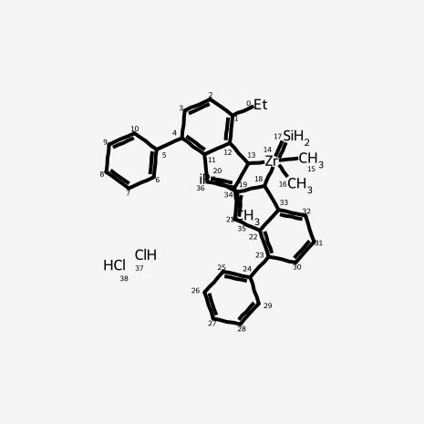 CCc1ccc(-c2ccccc2)c2c1[CH]([Zr]([CH3])([CH3])(=[SiH2])[CH]1C(C(C)C)=Cc3c(-c4ccccc4)cccc31)C(C)=C2.Cl.Cl